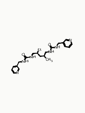 CCC(CNC(=O)NCc1cccnc1)CC(C)CNC(=O)NCc1cccnc1